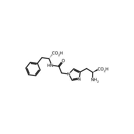 N[C@@H](Cc1cn(CC(=O)N[C@H](Cc2ccccc2)C(=O)O)cn1)C(=O)O